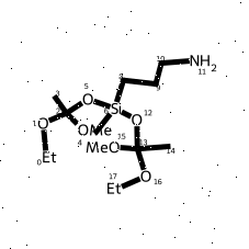 CCOC(C)(OC)O[Si](C)(CCCN)OC(C)(OC)OCC